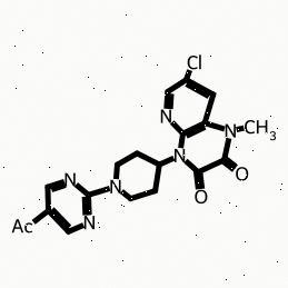 CC(=O)c1cnc(N2CCC(n3c(=O)c(=O)n(C)c4cc(Cl)cnc43)CC2)nc1